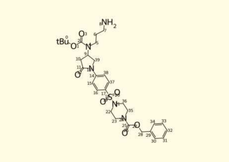 CC(C)(C)OC(=O)N(CCCN)C1CC(=O)N(c2ccc(S(=O)(=O)N3CCN(C(=O)OCc4ccccc4)CC3)cc2)C1